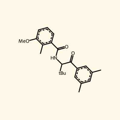 COc1cccc(C(=O)NC(C(=O)c2cc(C)cc(C)c2)C(C)(C)C)c1C